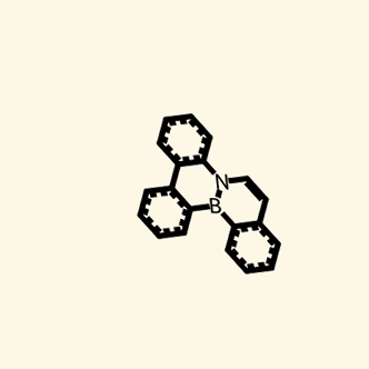 C1=CN2B(c3ccccc31)c1ccccc1-c1ccccc12